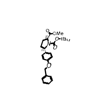 COC(=O)[C@@H]1CC[C@@H](c2ccc(OCc3ccccc3)cc2)N1C(=O)OC(C)(C)C